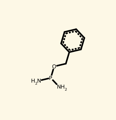 NP(N)OCc1ccccc1